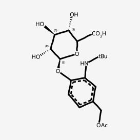 CC(=O)OCc1ccc(O[C@@H]2OC(C(=O)O)[C@@H](O)[C@H](O)[C@H]2O)c(NC(C)(C)C)c1